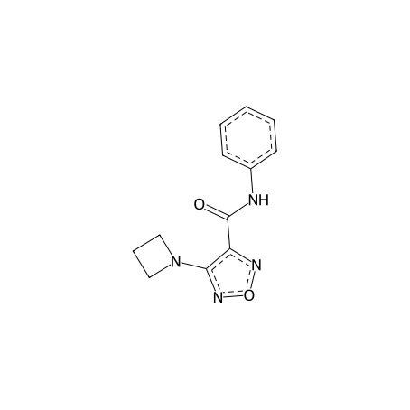 O=C(Nc1ccccc1)c1nonc1N1CCC1